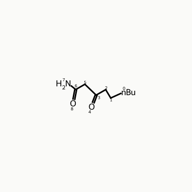 CCCCCCC(=O)CC(N)=O